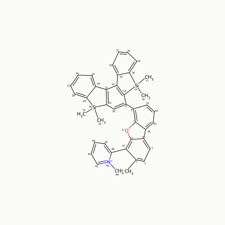 Cc1ccc2c(oc3c(-c4cc5c(c6c4[Si](C)(C)c4ccccc4-6)-c4ccccc4[Si]5(C)C)cccc32)c1-c1cccc[n+]1C